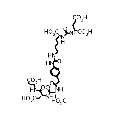 O=C(O)CCNC(=O)[C@H](CC(=O)O)NC(=O)[C@H](CC(=O)O)NC(=O)Cc1ccc(NC(=O)NCCCC[C@H](NC(=O)N[C@@H](CCC(=O)O)C(=O)O)C(=O)O)cc1